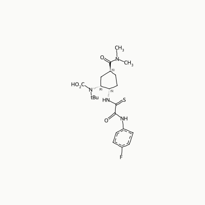 CN(C)C(=O)[C@H]1CC[C@H](NC(=S)C(=O)Nc2ccc(F)cc2)[C@H](N(C(=O)O)C(C)(C)C)C1